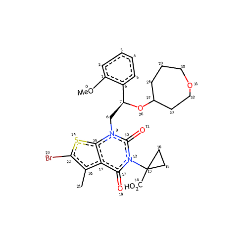 COc1ccccc1[C@H](Cn1c(=O)n(C2(C(=O)O)CC2)c(=O)c2c(C)c(Br)sc21)OC1CCCOCC1